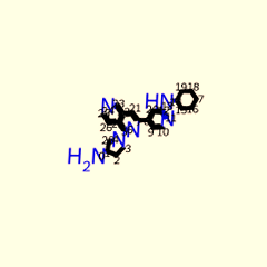 NC1CCN(c2nc(-c3ccnc(NC4CCCCC4)c3)cc3cnccc23)C1